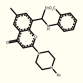 CCOC(=O)c1ccccc1NC(C)c1cc(C)cc2c(=O)cc(N3CCN(C(C)=O)CC3)oc12